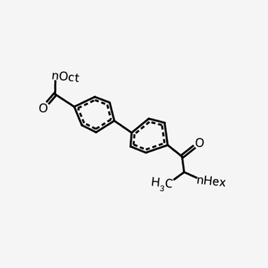 CCCCCCCCC(=O)c1ccc(-c2ccc(C(=O)C(C)CCCCCC)cc2)cc1